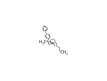 C=C(C)C1([C@H]2CC[C@H](CCCCC)CC2)C=CC(c2ccccc2)C=C1